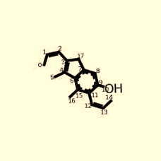 C/C=C\C1=C(C)c2c(cc(O)c(/C=C\C)c2C)C1